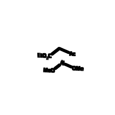 CCOC(=O)CC(C)=O.C[O][Al][O]C